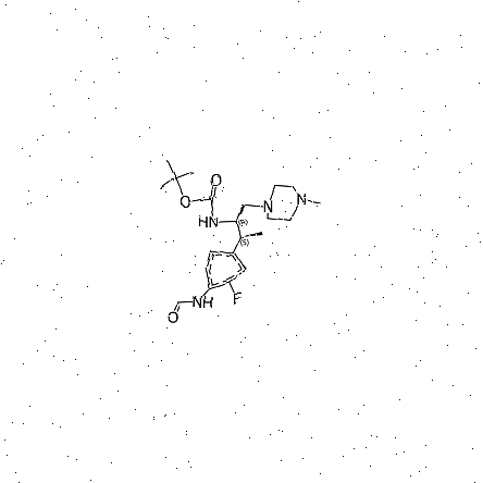 C[C@@H](c1ccc(NC=O)c(F)c1)[C@H](CN1CCN(C)CC1)NC(=O)OC(C)(C)C